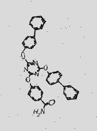 NC(=O)c1ccc(Oc2nc(Oc3ccc(-c4ccccc4)cc3)nc(Oc3ccc(-c4ccccc4)cc3)n2)cc1